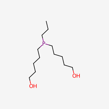 CCCP(CCCCCO)CCCCCO